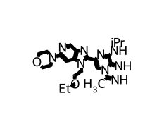 CCOCCn1c(-c2cn(C(C)=N)c(=N)c(NC(C)C)n2)nc2cnc(N3CCOCC3)cc21